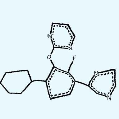 Fc1c(-c2cnccn2)ccc(C2CCCCC2)c1Oc1ncccn1